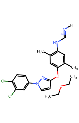 CCOCC.[H]/N=C/Nc1cc(C)c(Oc2ccn(-c3ccc(Cl)c(Cl)c3)n2)cc1C